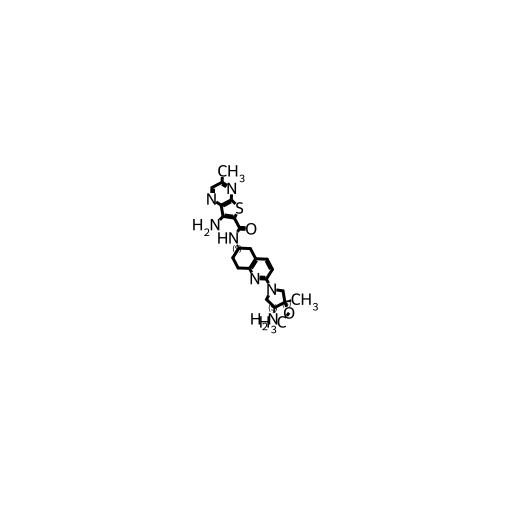 CO[C@@]1(C)CN(c2ccc3c(n2)CC[C@H](NC(=O)c2sc4nc(C)cnc4c2N)C3)C[C@@H]1N